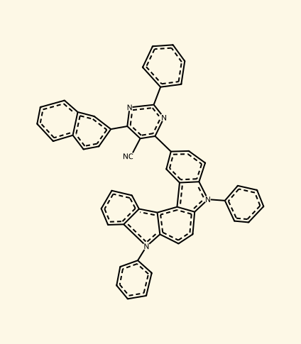 N#Cc1c(-c2ccc3ccccc3c2)nc(-c2ccccc2)nc1-c1ccc2c(c1)c1c3c4ccccc4n(-c4ccccc4)c3ccc1n2-c1ccccc1